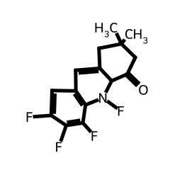 CC1(C)CC(=O)C2C(=Cc3cc(F)c(F)c(F)c3N2F)C1